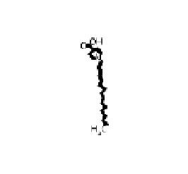 CCCCCCCCCCCCCCCCN1CCC(C(=O)O)CC1